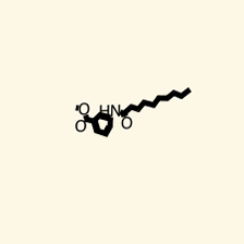 CCCCCCCCCC(=O)Nc1cccc(C(=O)OC)c1